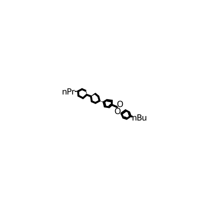 CCCCc1ccc(OC(=O)c2ccc([C@H]3CC[C@H]([C@H]4CC[C@H](CCC)CC4)CC3)cc2)cc1